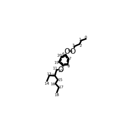 CCCCOOc1ccc(OCC(CC)CCCC)cc1